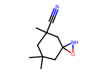 CC1(C)CC(C)(C#N)CC2(C1)NO2